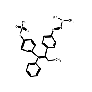 CC/C(=C(\c1ccccc1)c1ccc(OS(=O)(=O)O)cc1)c1ccc(N=NN(C)C)cc1